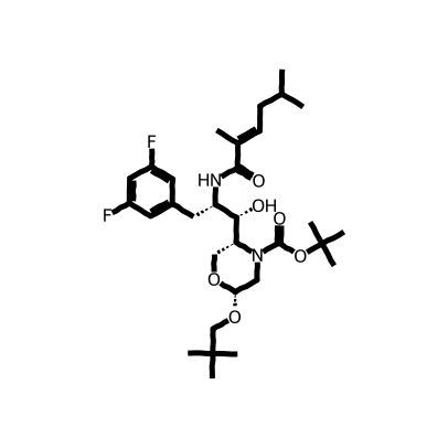 C/C(=C\CC(C)C)C(=O)N[C@@H](Cc1cc(F)cc(F)c1)[C@H](O)[C@H]1CO[C@@H](OCC(C)(C)C)CN1C(=O)OC(C)(C)C